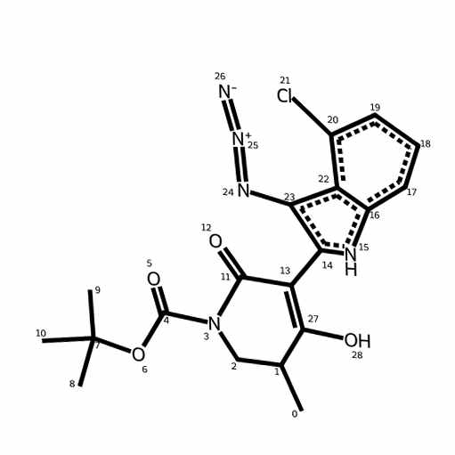 CC1CN(C(=O)OC(C)(C)C)C(=O)C(c2[nH]c3cccc(Cl)c3c2N=[N+]=[N-])=C1O